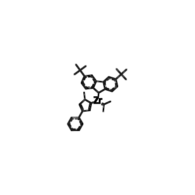 C[C](C)=[Zr]([C]1=CC(c2ccccc2)=CC1C)[CH]1c2ccc(C(C)(C)C)cc2-c2cc(C(C)(C)C)ccc21